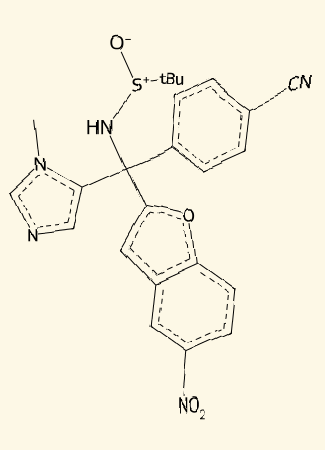 Cn1cncc1C(N[S+]([O-])C(C)(C)C)(c1ccc(C#N)cc1)c1cc2cc([N+](=O)[O-])ccc2o1